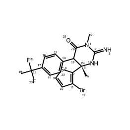 CN1C(=N)N[C@](C)(c2sccc2Br)C(c2ccc(C(C)(F)F)cc2)C1=O